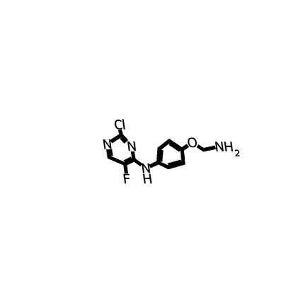 NCOc1ccc(Nc2nc(Cl)ncc2F)cc1